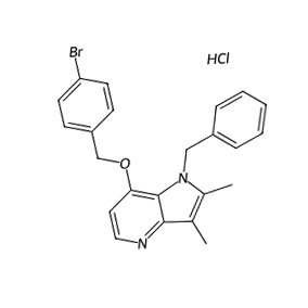 Cc1c(C)n(Cc2ccccc2)c2c(OCc3ccc(Br)cc3)ccnc12.Cl